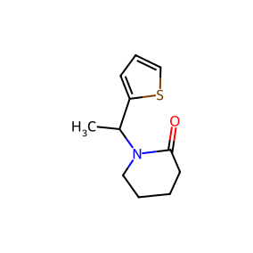 CC(c1cccs1)N1CCCCC1=O